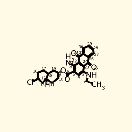 CCNc1cc(C(=O)O[C@@H]2CC[C@@H]3CC(Cl)CCC3C2)c(N)c2c1C(=O)c1ccccc1C2=O